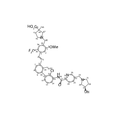 COc1cc(/C=C/c2cccc(-c3cccc(NC(=O)c4ccc(CN5CC[C@@H](O)C5)cn4)c3Cl)c2C)c(C(F)(F)F)cc1CN1CCC(C)(C(=O)O)C1